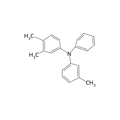 Cc1cccc(N(c2ccccc2)c2ccc(C)c(C)c2)c1